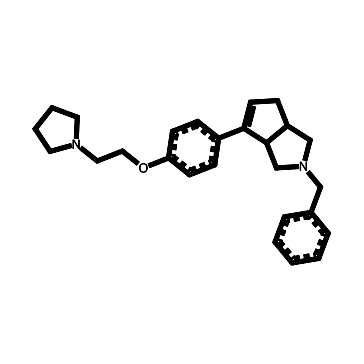 C1=C(c2ccc(OCCN3CCCC3)cc2)C2CN(Cc3ccccc3)CC2C1